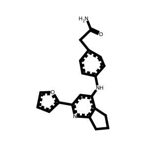 NC(=O)Cc1ccc(Nc2cc(-c3ccco3)nc3c2CCC3)cc1